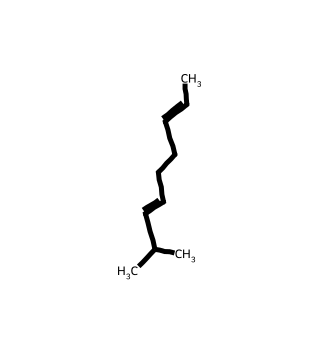 CC=CCCC=CC(C)C